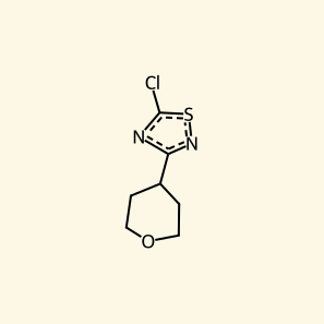 Clc1nc(C2CCOCC2)ns1